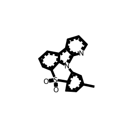 Cc1ccc2c(c1)-n1c3ncccc3c3cccc(c31)S2(=O)=O